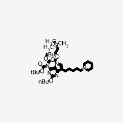 CCCCOc1nc(N(C(=O)OC(C)(C)C)C(=O)OC(C)(C)C)c2c(n1)c(CCCCCN1CCCCC1)cn2COCC[Si](C)(C)C